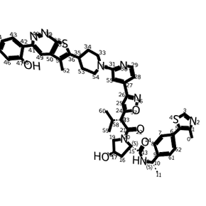 Cc1ncsc1-c1ccc([C@H](C)NC(=O)[C@@H]2C[C@@H](O)CN2C(=O)[C@@H](c2cc(-c3ccnc(N4CCC(c5sc6nnc(-c7ccccc7O)cc6c5C)CC4)c3)no2)C(C)C)cc1